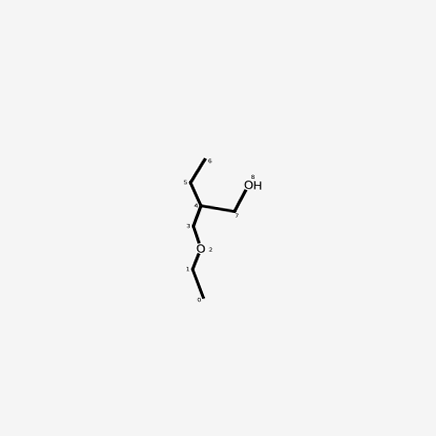 CCOCC(CC)CO